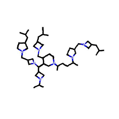 CC(C)CC1CCN(CC2CN(C(C3CN(C(C)C)C3)C3CN(C(C)CCC(C)N4CCC(CN5CC(CC(C)C)C5)C4)CCC3CN3CC(CC(C)C)C3)C2)C1